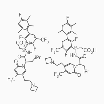 CCOC(=O)C[C@H](NC(=O)C(CC(C)C)n1cc(CCN2CCC2)c(C(F)(F)F)cc1=O)c1c(F)c(-c2c(C)cc(F)c(C)c2C)cc(C(F)(F)F)c1F.Cc1cc(F)c(C)c(C)c1-c1cc(C(F)(F)F)c(F)c([C@H](CC(=O)O)NC(=O)C(CC(C)C)n2cc(CCN3CCC3)c(C(F)(F)F)cc2=O)c1F